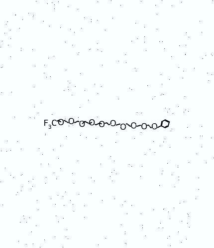 FC(F)(F)COCCOCCOCCOCCOCCOCCOCCOCCOCCOCc1ccccc1